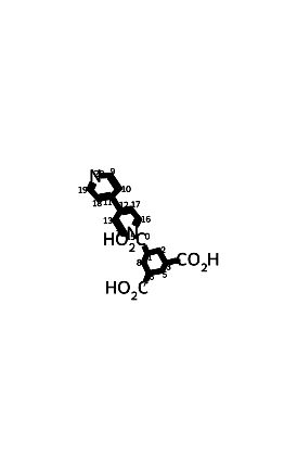 O=C(O)C1CC(C(=O)O)CC(C(=O)O)C1.c1cc(-c2ccncc2)ccn1